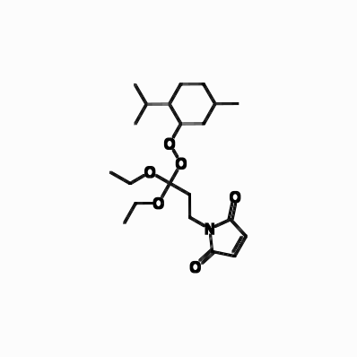 CCOC(CCN1C(=O)C=CC1=O)(OCC)OOC1CC(C)CCC1C(C)C